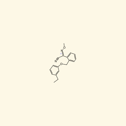 CCc1cccc(OCc2ccccc2/C(C#N)=N\OC)c1